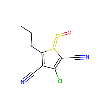 CCCC1=C(C#N)C(Cl)=C(C#N)S1=S=O